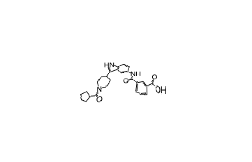 O=C(O)c1cccc(C(=O)Nc2ccc3[nH]cc(C4CCN(C(=O)C5CCCC5)CC4)c3c2)c1